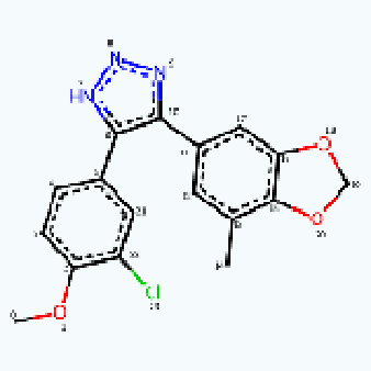 COc1ccc(-c2[nH]nnc2-c2cc(C)c3c(c2)OCO3)cc1Cl